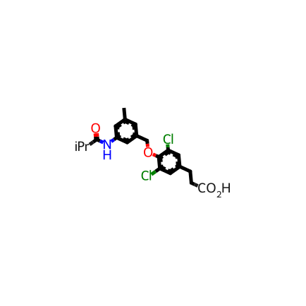 Cc1cc(COc2c(Cl)cc(CCC(=O)O)cc2Cl)cc(NC(=O)C(C)C)c1